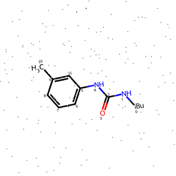 CCC(C)NC(=O)Nc1cccc(C)c1